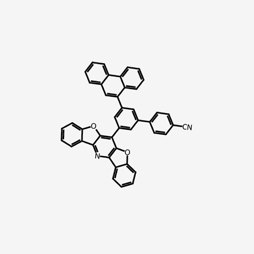 N#Cc1ccc(-c2cc(-c3cc4ccccc4c4ccccc34)cc(-c3c4oc5ccccc5c4nc4c3oc3ccccc34)c2)cc1